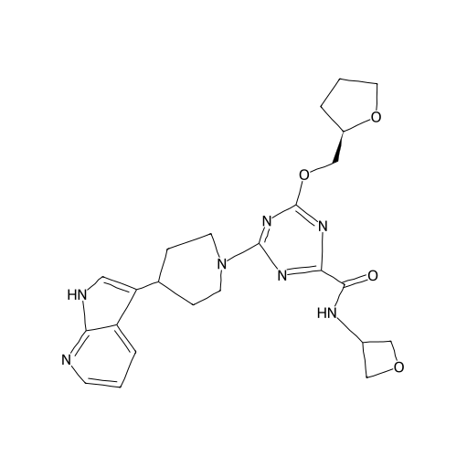 O=C(NC1COC1)c1nc(OC[C@H]2CCCO2)nc(N2CCC(c3c[nH]c4ncccc34)CC2)n1